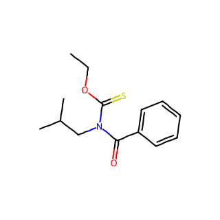 CCOC(=S)N(CC(C)C)C(=O)c1ccccc1